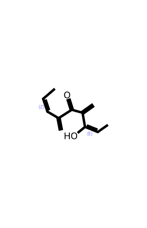 C=C(/C=C\C)C(=O)C(=C)/C(O)=C\C